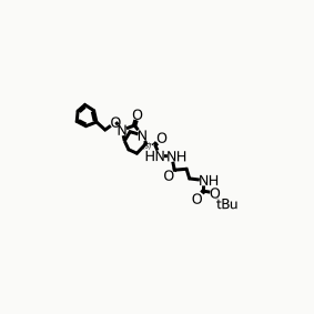 CC(C)(C)OC(=O)NCCC(=O)NNC(=O)[C@@H]1CCC2CN1C(=O)N2OCc1ccccc1